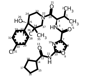 CC(C)[C@@H](NC(=O)c1coc(NC(=O)C2CCCC2)n1)C(=O)N1CC[C@](O)(c2ccc(Cl)cc2)C(C)(C)C1